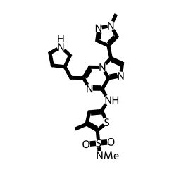 CNS(=O)(=O)c1sc(Nc2nc(CC3CCNC3)cn3c(-c4cnn(C)c4)cnc23)cc1C